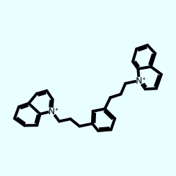 c1cc(CCC[n+]2cccc3ccccc32)cc(CCC[n+]2cccc3ccccc32)c1